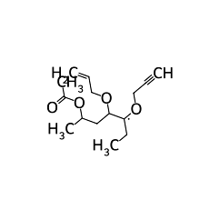 C#CCO[C](CC)C(CC(C)OC(C)=O)OCC=C